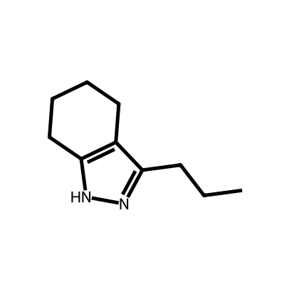 CCCc1n[nH]c2c1CCCC2